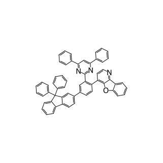 c1ccc(-c2cc(-c3ccccc3)nc(-c3cc(-c4ccc5c(c4)C(c4ccccc4)(c4ccccc4)c4ccccc4-5)ccc3-c3ccnc4c3oc3ccccc34)n2)cc1